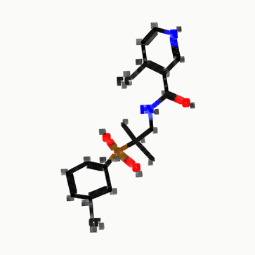 CC(C)(CNC(=O)c1cnccc1C(F)(F)F)S(=O)(=O)c1cccc(C(F)(F)F)c1